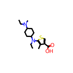 CCN(C)C1CCC(N(CC)c2scc(C(=O)O)c2C)CC1